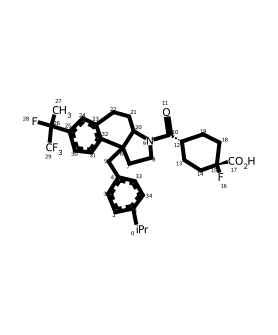 CC(C)c1ccc(CC23CCN(C(=O)[C@H]4CC[C@](F)(C(=O)O)CC4)C2CCc2cc(C(C)(F)C(F)(F)F)ccc23)cc1